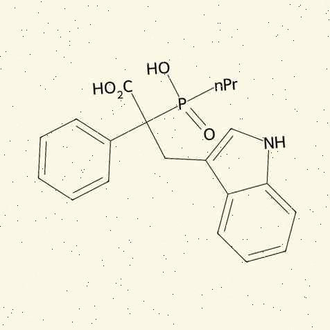 CCCP(=O)(O)C(Cc1c[nH]c2ccccc12)(C(=O)O)c1ccccc1